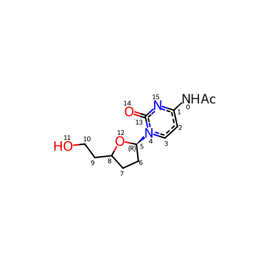 CC(=O)Nc1ccn([C@H]2CCC(CCO)O2)c(=O)n1